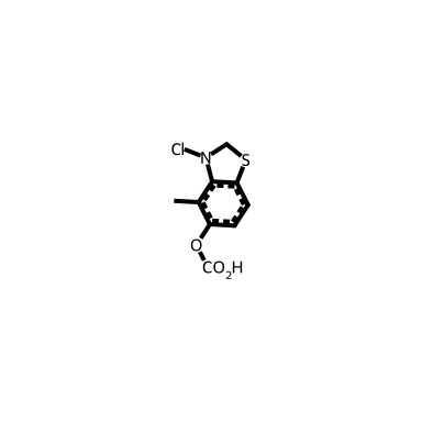 Cc1c(OC(=O)O)ccc2c1N(Cl)CS2